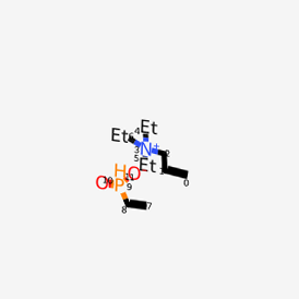 C=CC[N+](CC)(CC)CC.C=C[PH](=O)[O-]